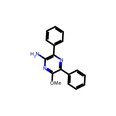 COc1nc(N)c(-c2ccccc2)nc1-c1ccccc1